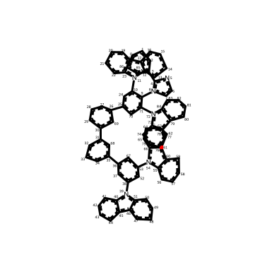 c1ccc(-c2nccn2-c2c(-n3c4ccccc4c4ccccc43)cc(-c3cccc(-c4cccc(-c5cc(-n6c7ccccc7c7ccccc76)cc(-n6c7ccccc7c7ccccc76)c5)c4)c3)cc2-n2c3ccccc3c3ccccc32)cc1